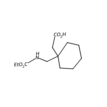 CCOC(=O)NCC1(CC(=O)O)CCCCC1